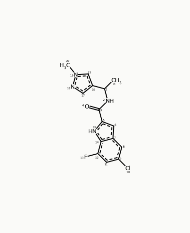 CC(NC(=O)c1cc2cc(Cl)cc(F)c2[nH]1)c1cnn(C)c1